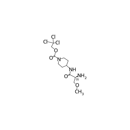 COC[C@H](N)C(=O)NC1CCN(C(=O)OCC(Cl)(Cl)Cl)CC1